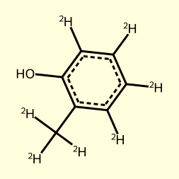 [2H]c1c([2H])c([2H])c(C([2H])([2H])[2H])c(O)c1[2H]